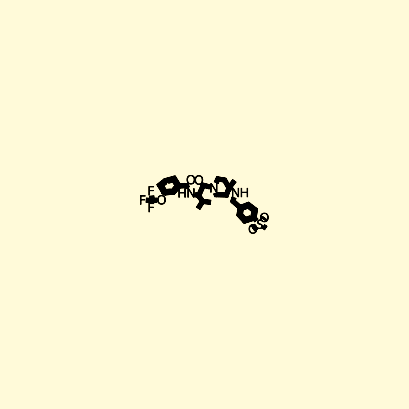 CC(C)C(NC(=O)c1cccc(OC(F)(F)F)c1)C(=O)N1CCC(C)(NCc2ccc(S(C)(=O)=O)cc2)CC1